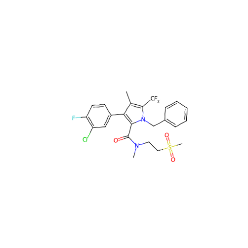 Cc1c(-c2ccc(F)c(Cl)c2)c(C(=O)N(C)CCS(C)(=O)=O)n(Cc2ccccc2)c1C(F)(F)F